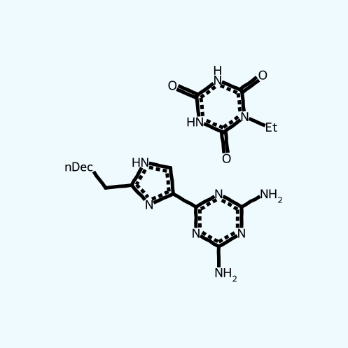 CCCCCCCCCCCc1nc(-c2nc(N)nc(N)n2)c[nH]1.CCn1c(=O)[nH]c(=O)[nH]c1=O